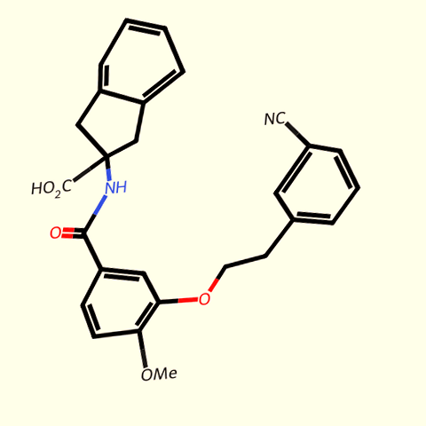 COc1ccc(C(=O)NC2(C(=O)O)Cc3ccccc3C2)cc1OCCc1cccc(C#N)c1